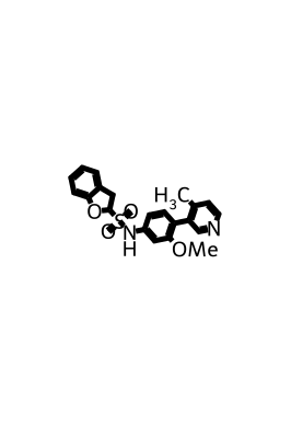 COc1cc(NS(=O)(=O)C2Cc3ccccc3O2)ccc1-c1cnccc1C